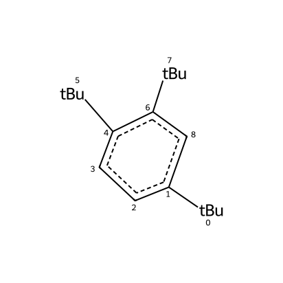 CC(C)(C)c1ccc(C(C)(C)C)c(C(C)(C)C)c1